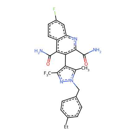 CCc1ccc(Cn2nc(C(F)(F)F)c(-c3c(C(N)=O)nc4cc(F)ccc4c3C(N)=O)c2C)cc1